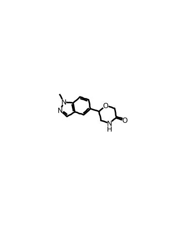 Cn1ncc2cc(C3CNC(=O)CO3)ccc21